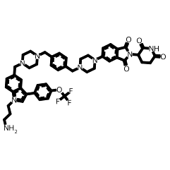 NCCCn1cc(-c2ccc(OC(F)(F)F)cc2)c2cc(CN3CCN(Cc4ccc(CN5CCN(c6ccc7c(c6)C(=O)N(C6CCC(=O)NC6=O)C7=O)CC5)cc4)CC3)ccc21